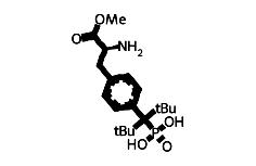 COC(=O)[C@@H](N)Cc1ccc(C(C(C)(C)C)(C(C)(C)C)P(=O)(O)O)cc1